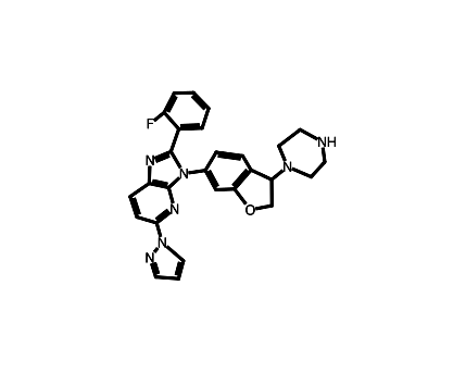 Fc1ccccc1-c1nc2ccc(-n3cccn3)nc2n1-c1ccc2c(c1)OCC2N1CCNCC1